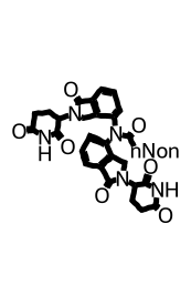 CCCCCCCCCC(=O)N(c1cccc2c1CN(C1CCC(=O)NC1=O)C2=O)c1cccc2c1CN(C1CCC(=O)NC1=O)C2=O